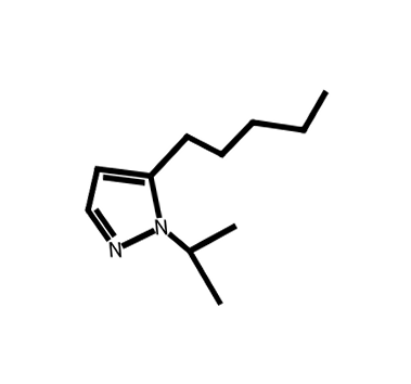 CCCCCc1ccnn1C(C)C